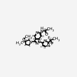 CO[C@@]1(C)CCN(c2nn(-c3ccnc(C(C)(F)F)n3)c3cc(NC(C)=O)ncc23)C1